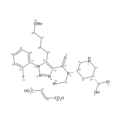 CCC(O)[C@H]1CNC[C@@H](N(CC(C)C)C(=O)c2nnn(-c3ccccc3F)c2CCCCOC)C1.O=C(O)C=CC(=O)O